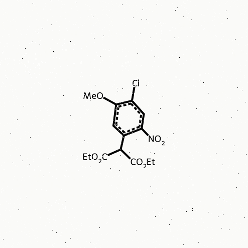 CCOC(=O)C(C(=O)OCC)c1cc(OC)c(Cl)cc1[N+](=O)[O-]